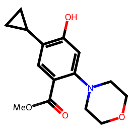 COC(=O)c1cc(C2CC2)c(O)cc1N1CCOCC1